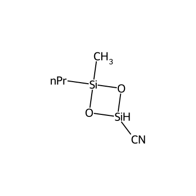 CCC[Si]1(C)O[SiH](C#N)O1